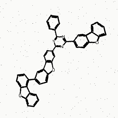 c1ccc(-c2nc(-c3ccc4c(c3)oc3ccc(-c5cccc6oc7ccccc7c56)cc34)nc(-c3ccc4oc5ccccc5c4c3)n2)cc1